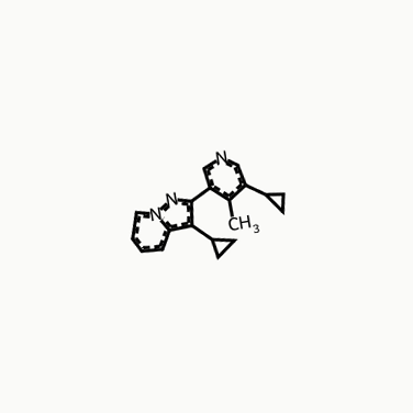 Cc1c(-c2nn3ccccc3c2C2CC2)cncc1C1CC1